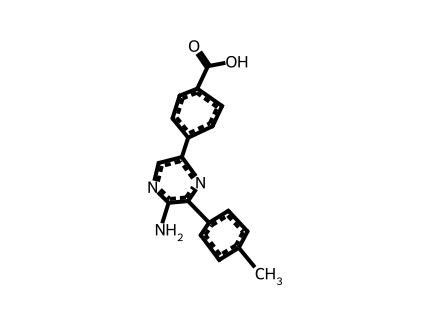 Cc1ccc(-c2nc(-c3ccc(C(=O)O)cc3)cnc2N)cc1